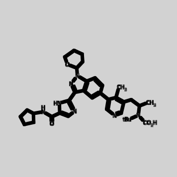 Cc1c(CC(C)N(C(=O)O)C(C)(C)C)cncc1-c1ccc2c(c1)c(-c1ncc(C(=O)NC3CCCC3)[nH]1)nn2C1CCCCO1